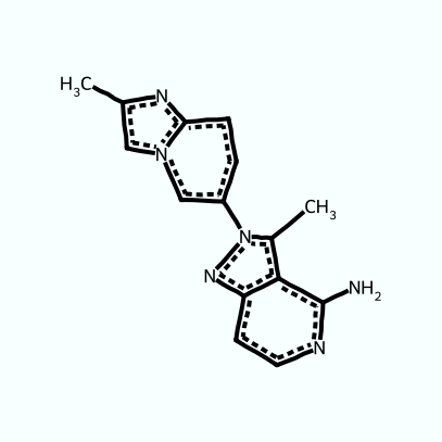 Cc1cn2cc(-n3nc4ccnc(N)c4c3C)ccc2n1